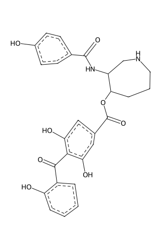 O=C(NC1CNCCCC1OC(=O)c1cc(O)c(C(=O)c2ccccc2O)c(O)c1)c1ccc(O)cc1